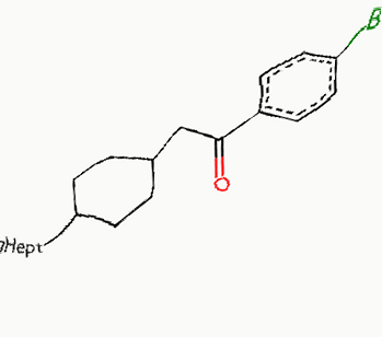 CCCCCCCC1CCC(CC(=O)c2ccc(Br)cc2)CC1